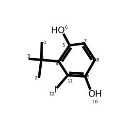 CC(C)(C)c1c(O)ccc(O)c1I